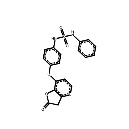 O=C1Cc2nccc(Oc3ccc(NS(=O)(=O)Nc4ccccc4)cc3)c2O1